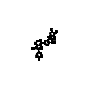 CCn1c(-c2cnc(C)nc2)nc2c(-c3ccc4c(c3)C(C)(N3C[C@@H](F)[C@H](F)C3)C(=O)N4)ncnc21